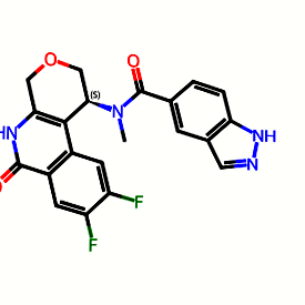 CN(C(=O)c1ccc2[nH]ncc2c1)[C@@H]1COCc2[nH]c(=O)c3cc(F)c(F)cc3c21